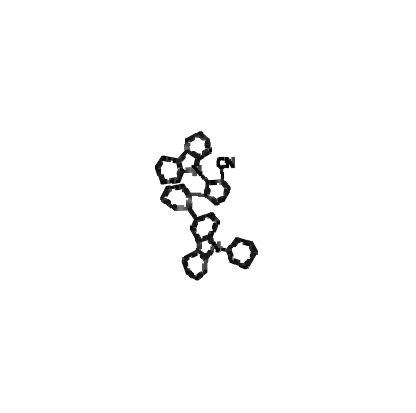 N#Cc1cccc(-c2ccccc2-c2ccc3c(c2)c2ccccc2n3-c2ccccc2)c1-n1c2ccccc2c2ccccc21